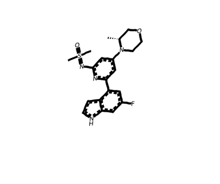 C[C@@H]1COCCN1c1cc(N=S(C)(C)=O)nc(-c2cc(F)cc3[nH]ccc23)c1